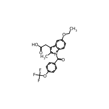 CCOc1ccc2c(c1)c(CC(=O)O)c(C)n2C(=O)c1ccc(OC(F)(F)F)cc1